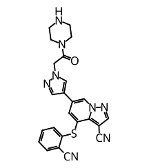 N#Cc1ccccc1Sc1cc(-c2cnn(CC(=O)N3CCNCC3)c2)cn2ncc(C#N)c12